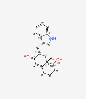 C[C@]12C/C(=C\c3c[nH]c4ccccc34)C(=O)C=C1CCC[C@@H]2O